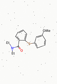 CCN(CC)C(=O)c1ccccc1Sc1cccc(OC)c1